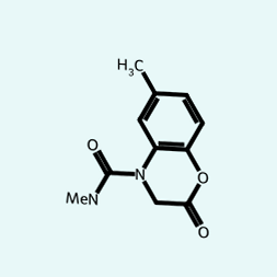 CNC(=O)N1CC(=O)Oc2ccc(C)cc21